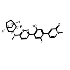 CN(c1ccc(-c2cc(F)c(-c3ccn(C)c(=O)c3)cc2O)nn1)[C@@H]1C[C@H]2CC[C@H](C2)[C@@H]1F